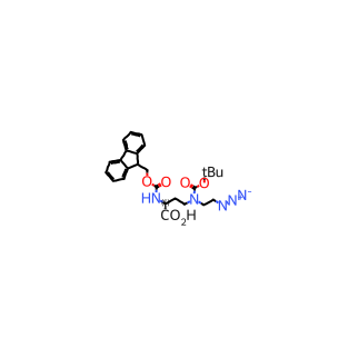 CC(C)(C)OC(=O)N(CCN=[N+]=[N-])CC[C@H](NC(=O)OCC1c2ccccc2-c2ccccc21)C(=O)O